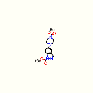 CC(C)(C)OC(=O)N1CCN(c2ccc3c(cnn3C(=O)OC(C)(C)C)c2)CC1